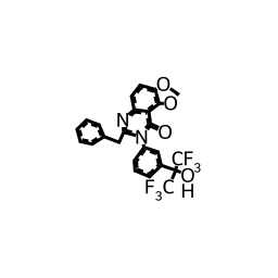 O=c1c2c3c(ccc2nc(Cc2ccccc2)n1-c1cccc(C(O)(C(F)(F)F)C(F)(F)F)c1)OCO3